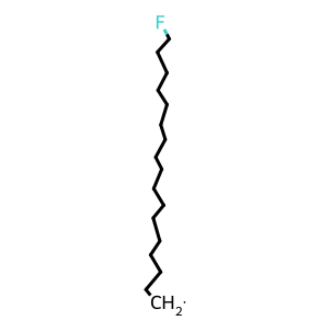 [CH2]CCCCCCCCCCCCCCCCF